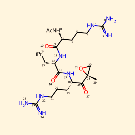 CC(=O)N[C@@H](CCCNC(=N)N)C(=O)N[C@@H](CC(C)C)C(=O)N[C@@H](CCCNC(=N)N)C(=O)[C@@]1(C)CO1